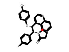 N#Cc1ccc(O[C@H](c2ccnc3ccccc23)[C@@H](c2ccc(F)cc2)N2CCCC2=O)cc1